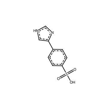 O=S(=O)(O)c1ccc(-c2c[nH]cn2)cc1